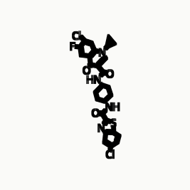 O=C(N[C@H]1CC[C@H](NC(=O)c2cn(C3CC3)c3cc(Cl)c(F)cc3c2=O)CC1)c1nc2cc(Cl)ccc2s1